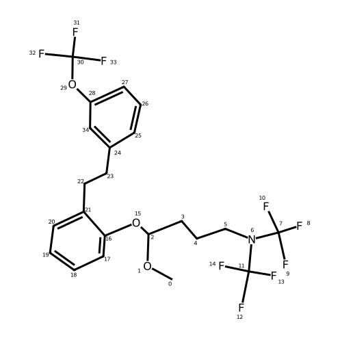 COC(CCCN(C(F)(F)F)C(F)(F)F)Oc1ccccc1CCc1cccc(OC(F)(F)F)c1